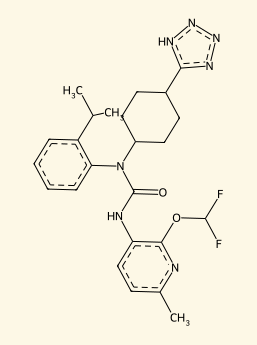 Cc1ccc(NC(=O)N(c2ccccc2C(C)C)C2CCC(c3nnn[nH]3)CC2)c(OC(F)F)n1